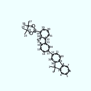 CC1(C)c2ccccc2-c2ccc(-c3ccc4sc5c(B6OC(C)(C)C(C)(C)O6)cccc5c4c3)cc21